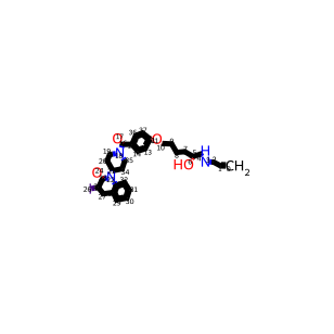 C=CCNCC(O)CCCCOc1ccc(C(=O)N2CCC(N3C(=O)C(I)Cc4ccccc43)CC2)cc1